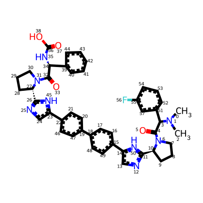 CN(C)C(C(=O)N1CCC[C@H]1c1ncc(-c2ccc(-c3ccc(-c4cnc([C@@H]5CCCN5C(=O)[C@H](NC(=O)O)c5ccccc5)[nH]4)cc3)cc2)[nH]1)c1cccc(F)c1